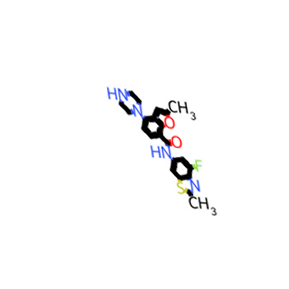 Cc1cc2c(N3CCNCC3)ccc(C(=O)NC3=CC4SC(C)N=C4C(F)=C3)c2o1